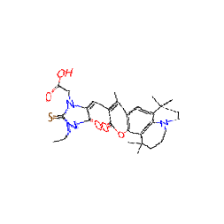 CCN1C(=O)/C(=C\c2c(C)c3cc4c5c(c3oc2=O)C(C)(C)CCN5CCC4(C)C)N(CC(=O)O)C1=S